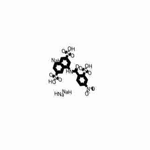 O=C(Nc1cc(S(=O)(=O)O)cc2ccc(S(=O)(=O)O)cc12)c1ccc([N+](=O)[O-])cc1S(=O)(=O)O.[NaH].[NaH].[NaH]